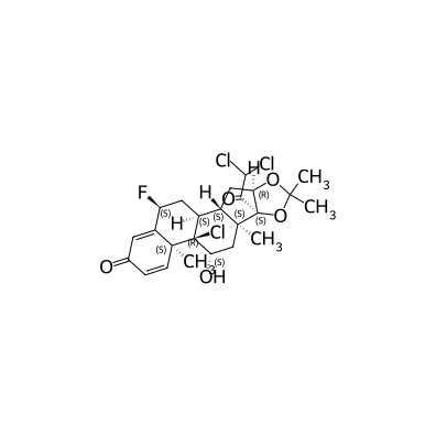 CC1(C)O[C@@H]2C[C@H]3[C@@H]4C[C@H](F)C5=CC(=O)C=C[C@]5(C)[C@@]4(Cl)[C@@H](O)C[C@]3(C)[C@]2(C(=O)C(Cl)Cl)O1